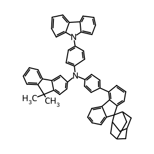 CC1(C)c2ccccc2-c2cc(N(c3ccc(-c4cccc5c4-c4ccccc4C54C5CC6CC(C5)CC4C6)cc3)c3ccc(-n4c5ccccc5c5ccccc54)cc3)ccc21